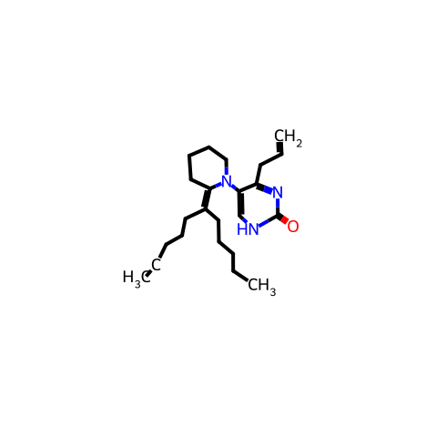 C=CCc1nc(=O)[nH]cc1N1CCCCC1=C(CCCCC)CCCCC